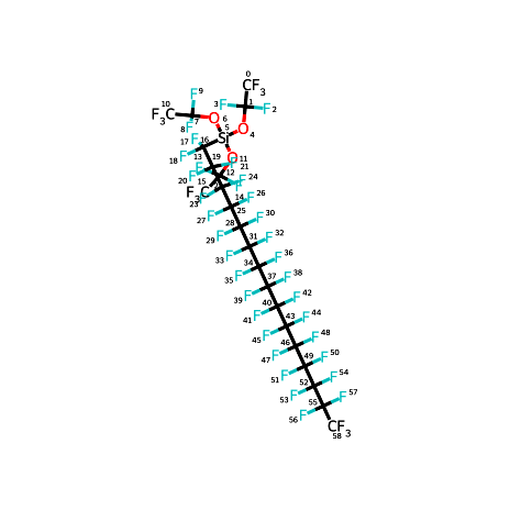 FC(F)(F)C(F)(F)O[Si](OC(F)(F)C(F)(F)F)(OC(F)(F)C(F)(F)F)C(F)(F)C(F)(F)C(F)(F)C(F)(F)C(F)(F)C(F)(F)C(F)(F)C(F)(F)C(F)(F)C(F)(F)C(F)(F)C(F)(F)C(F)(F)C(F)(F)C(F)(F)F